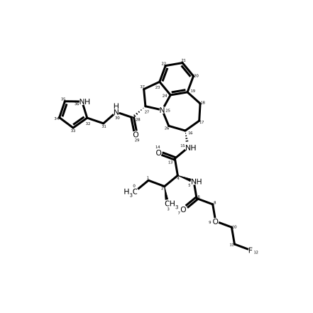 CC[C@H](C)[C@H](NC(=O)COCCF)C(=O)N[C@H]1CCc2cccc3c2N(C1)[C@H](C(=O)NCc1ccc[nH]1)C3